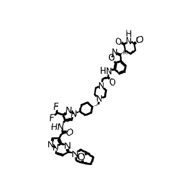 O=C1CC[C@H](c2noc3c(NC(=O)CN4CCN(C[C@H]5CC[C@H](n6cc(NC(=O)c7cnn8ccc(N9CC%10CCC(C9)O%10)nc78)c(C(F)F)n6)CC5)CC4)cccc23)C(=O)N1